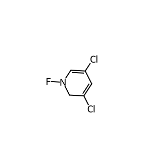 FN1C=C(Cl)C=C(Cl)C1